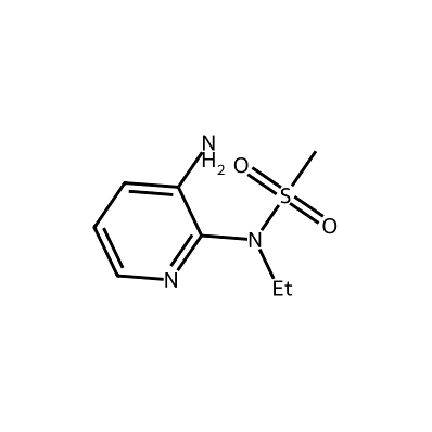 CCN(c1ncccc1N)S(C)(=O)=O